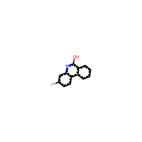 Oc1nc2cc(F)ccc2c2ccccc12